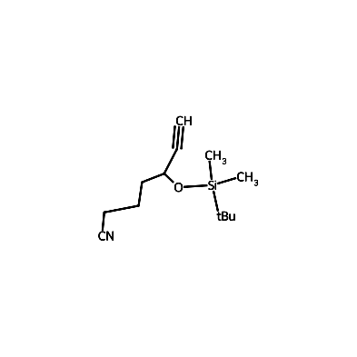 C#CC(CCCC#N)O[Si](C)(C)C(C)(C)C